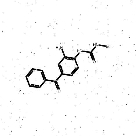 CCNC(=O)Nc1ccc(C(=O)c2ccccc2)cc1N